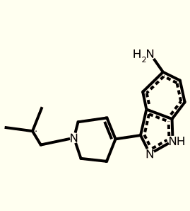 C[C](C)CN1CC=C(c2n[nH]c3ccc(N)cc23)CC1